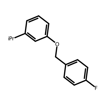 CC(C)c1cccc(OCc2ccc(F)cc2)c1